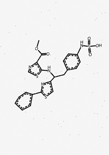 COC(=O)c1ncsc1NC(Cc1ccc(NS(=O)(=O)O)cc1)c1csc(-c2ccccc2)n1